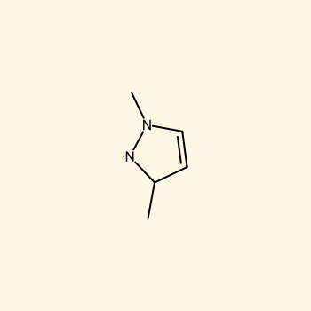 CC1C=CN(C)[N]1